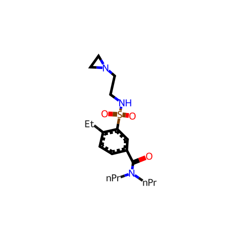 CCCN(CCC)C(=O)c1ccc(CC)c(S(=O)(=O)NCCN2CC2)c1